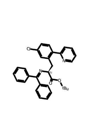 CC(C)(C)OC(=O)[C@H](Cc1cc(Cl)ccc1-c1ccccn1)N=C(c1ccccc1)c1ccccc1